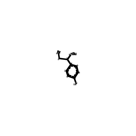 CCCCC(CBr)c1ccc(F)cc1